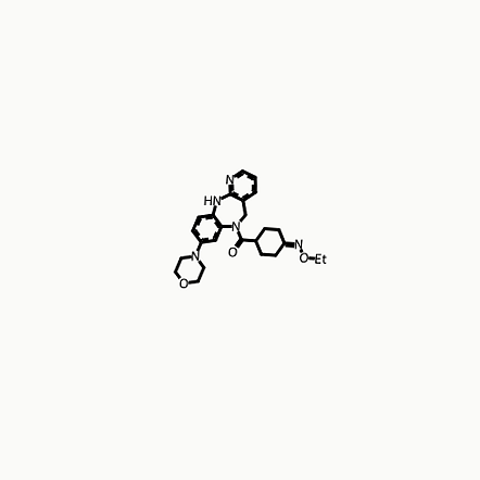 CCON=C1CCC(C(=O)N2Cc3cccnc3Nc3ccc(N4CCOCC4)cc32)CC1